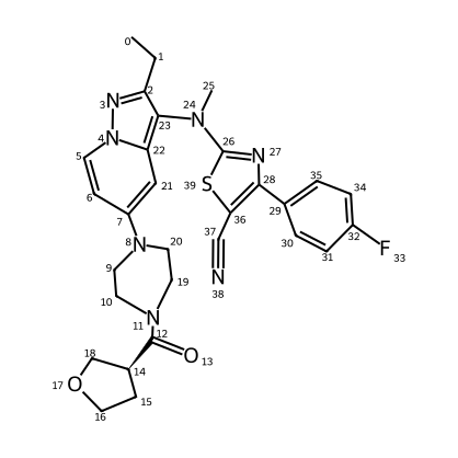 CCc1nn2ccc(N3CCN(C(=O)[C@H]4CCOC4)CC3)cc2c1N(C)c1nc(-c2ccc(F)cc2)c(C#N)s1